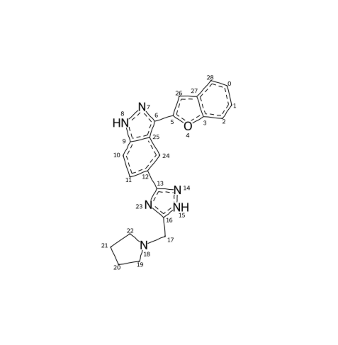 c1ccc2oc(-c3n[nH]c4ccc(-c5n[nH]c(CN6CCCC6)n5)cc34)cc2c1